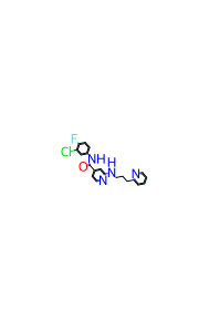 O=C(Nc1ccc(F)c(Cl)c1)c1ccnc(NCCCc2ccccn2)c1